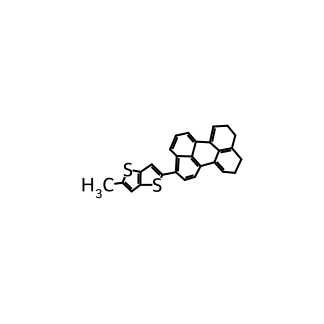 Cc1cc2sc(-c3ccc4c5c6c(c7cccc3c74)=CCCC=6CCC=5)cc2s1